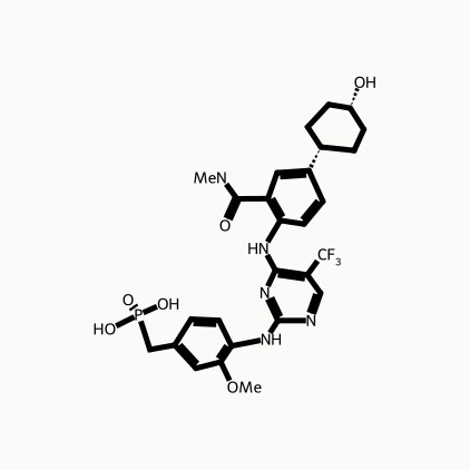 CNC(=O)c1cc([C@H]2CC[C@@H](O)CC2)ccc1Nc1nc(Nc2ccc(CP(=O)(O)O)cc2OC)ncc1C(F)(F)F